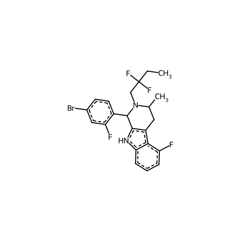 CCC(F)(F)CN1C(C)Cc2c([nH]c3cccc(F)c23)C1c1ccc(Br)cc1F